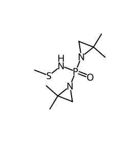 CSNP(=O)(N1CC1(C)C)N1CC1(C)C